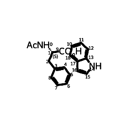 CC(=O)N[C@@H](Cc1ccccc1)C(=O)O.c1ccc2[nH]ccc2c1